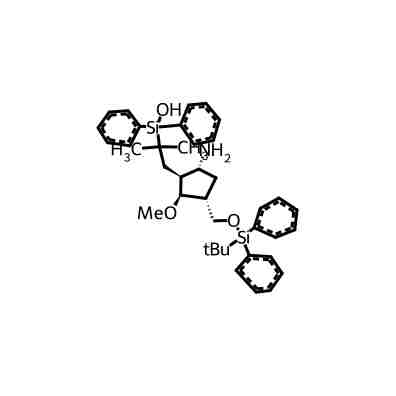 CO[C@@H]1[C@@H](CO[Si](c2ccccc2)(c2ccccc2)C(C)(C)C)C[C@@H](N)[C@@H]1CC(C)(C)[Si](O)(c1ccccc1)c1ccccc1